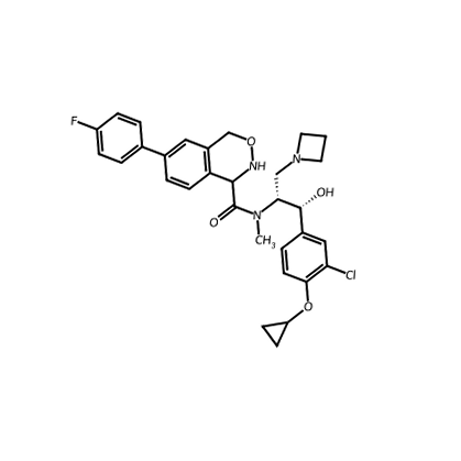 CN(C(=O)C1NOCc2cc(-c3ccc(F)cc3)ccc21)[C@H](CN1CCC1)[C@H](O)c1ccc(OC2CC2)c(Cl)c1